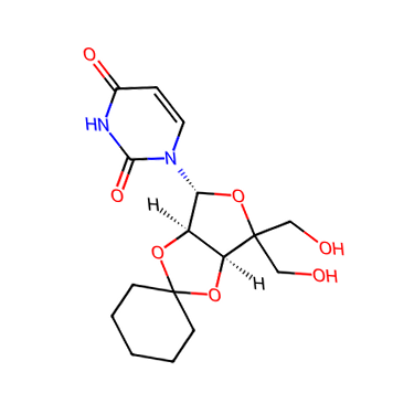 O=c1ccn([C@@H]2OC(CO)(CO)[C@H]3OC4(CCCCC4)O[C@@H]23)c(=O)[nH]1